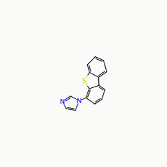 c1ccc2c(c1)sc1c(-n3ccnc3)cccc12